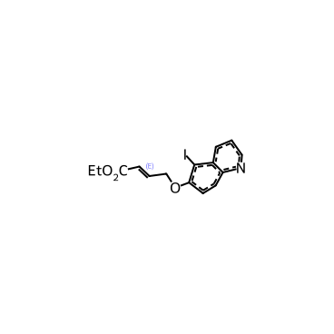 CCOC(=O)/C=C/COc1ccc2ncccc2c1I